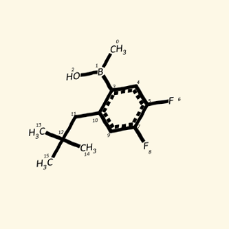 CB(O)c1cc(F)c(F)cc1CC(C)(C)C